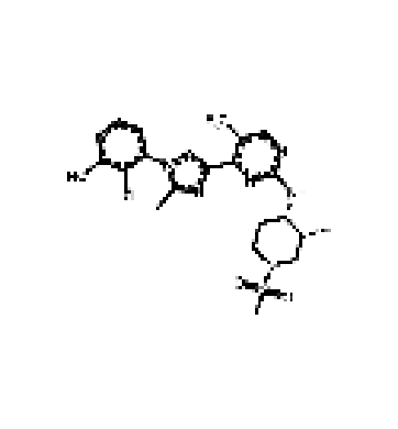 Cc1nc(-c2nc(N[C@H]3CCN(S(C)(=O)=O)C[C@H]3F)ncc2C(F)(F)F)cn1-c1cccc(C#N)c1Cl